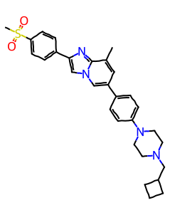 Cc1cc(-c2ccc(N3CCN(CC4CCC4)CC3)cc2)cn2cc(-c3ccc(S(C)(=O)=O)cc3)nc12